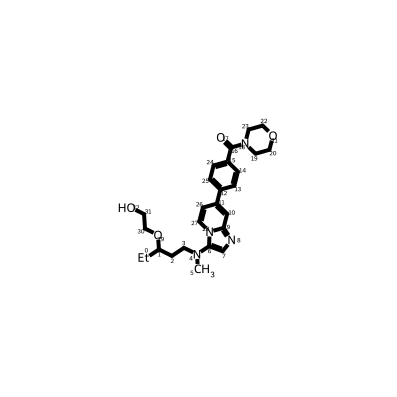 CCC(CCN(C)c1cnc2cc(-c3ccc(C(=O)N4CCOCC4)cc3)ccn12)OCCO